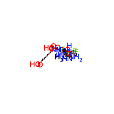 CC(NC(=O)[C@@H]1C[C@](F)(COCCNC(=O)CCC(NC(=O)CCCCCCCCCCCCCCCCC(=O)O)C(=O)O)CN1C(=O)CNC(=O)c1ccc2c(c1)-c1ccccc1C2(F)F)c1cc(C(=N)N)cs1